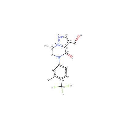 Cc1cc(N2C[C@H](C)n3ncc(C=O)c3C2=O)ccc1C(F)(F)F